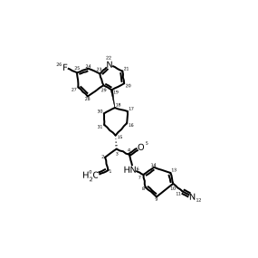 C=CCC(C(=O)Nc1ccc(C#N)cc1)[C@H]1CC[C@H](c2ccnc3cc(F)ccc32)CC1